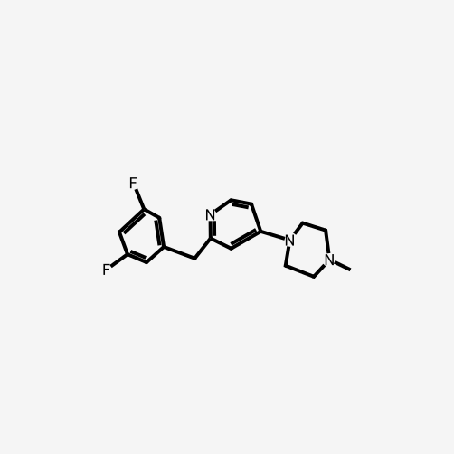 CN1CCN(c2ccnc(Cc3cc(F)cc(F)c3)c2)CC1